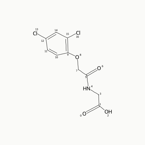 O=C(O)CNC(=O)COc1ccc(Cl)cc1Cl